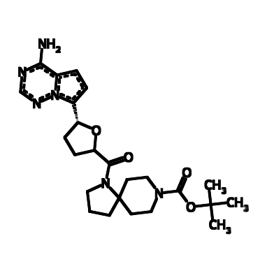 CC(C)(C)OC(=O)N1CCC2(CCCN2C(=O)C2CC[C@H](c3ccc4c(N)ncnn34)O2)CC1